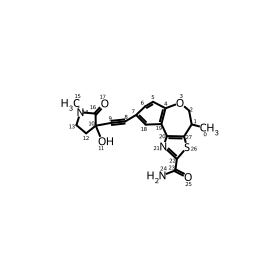 CC1COc2ccc(C#CC3(O)CCN(C)C3=O)cc2-c2nc(C(N)=O)sc21